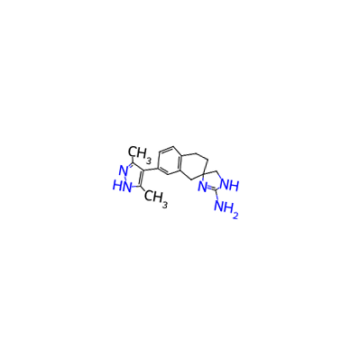 Cc1n[nH]c(C)c1-c1ccc2c(c1)CC1(CC2)CNC(N)=N1